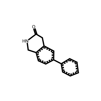 O=C1Cc2cc(-c3ccccc3)ccc2CN1